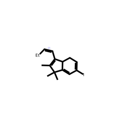 CC/C=C\C1=C(C)C(C)(C)C2=CC(I)=CCC21